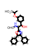 CC(Oc1cccc(C(O)C(NC=O)c2nc(-c3ccccc3)c(-c3ccccc3)o2)c1)C(=O)O